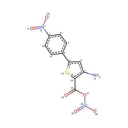 Nc1cc(-c2ccc([N+](=O)[O-])cc2)sc1C(=O)O[N+](=O)[O-]